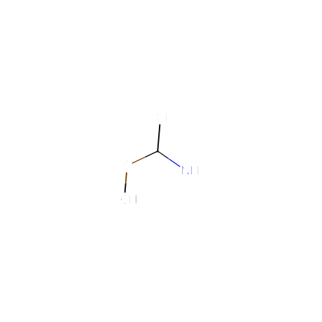 CSC(C)[NH]